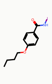 CCCCOc1ccc(C(=O)NI)cc1